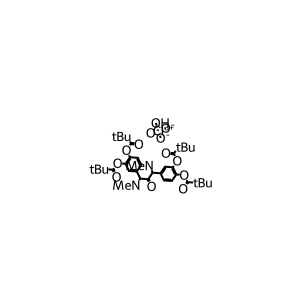 CNC(C(=O)C(NC)c1ccc(OC(=O)C(C)(C)C)c(OC(=O)C(C)(C)C)c1)c1ccc(OC(=O)C(C)(C)C)c(OC(=O)C(C)(C)C)c1.[O-][Cl+3]([O-])([O-])O